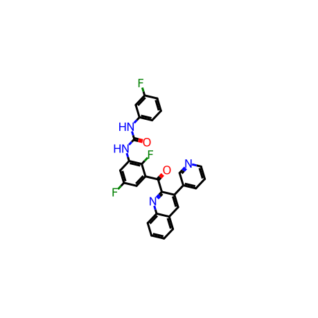 O=C(Nc1cccc(F)c1)Nc1cc(F)cc(C(=O)c2nc3ccccc3cc2-c2cccnc2)c1F